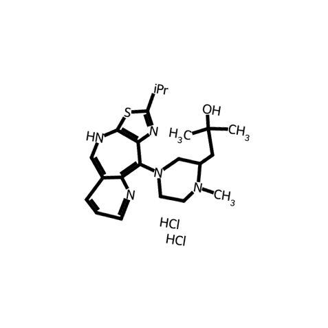 CC(C)c1nc2c(s1)NC=c1cccnc1=C2N1CCN(C)C(CC(C)(C)O)C1.Cl.Cl